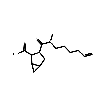 C=CCCCCN(C)C(=O)C1CC2CC2C1C(=O)O